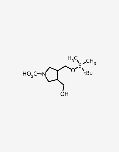 CC(C)(C)[Si](C)(C)OCC1CN(C(=O)O)CC1CO